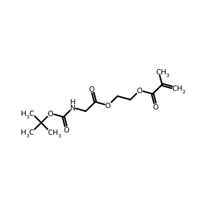 C=C(C)C(=O)OCCOC(=O)CNC(=O)OC(C)(C)C